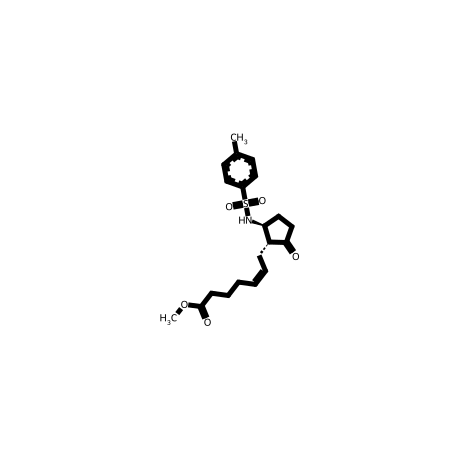 COC(=O)CCC/C=C\C[C@H]1C(=O)CC[C@@H]1NS(=O)(=O)c1ccc(C)cc1